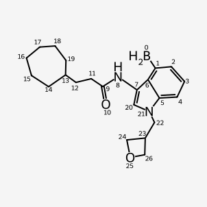 Bc1cccc2c1c(NC(=O)CCC1CCCCCC1)cn2CC1COC1